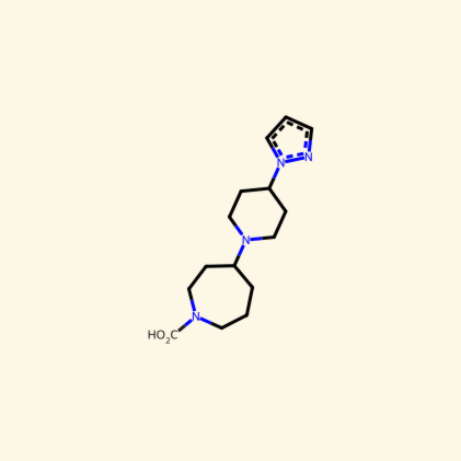 O=C(O)N1CCCC(N2CCC(n3cccn3)CC2)CC1